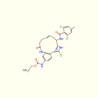 Cc1cc(F)c(C(=O)NC2C/C=C/CCC(=O)Nc3cc(NC(=O)OCC(=O)O)ccc3-c3nc2[nH]c3Cl)c(F)c1